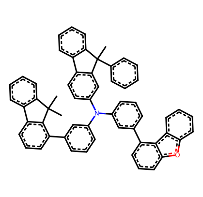 CC1(C)c2ccccc2-c2cccc(-c3cccc(N(c4cccc(-c5cccc6oc7ccccc7c56)c4)c4ccc5c(c4)C(C)(c4ccccc4)c4ccccc4-5)c3)c21